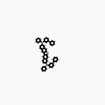 c1ccc(-c2cccc(N(c3ccccc3)c3ccc4cc5c(cc4c3)oc3cc4cc(N(c6ccccc6)c6cccc(-c7ccccc7)c6)ccc4cc35)c2)cc1